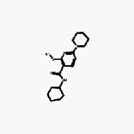 CCCSc1nc(N2CCCCC2)ccc1C(=O)NC1CCCCC1